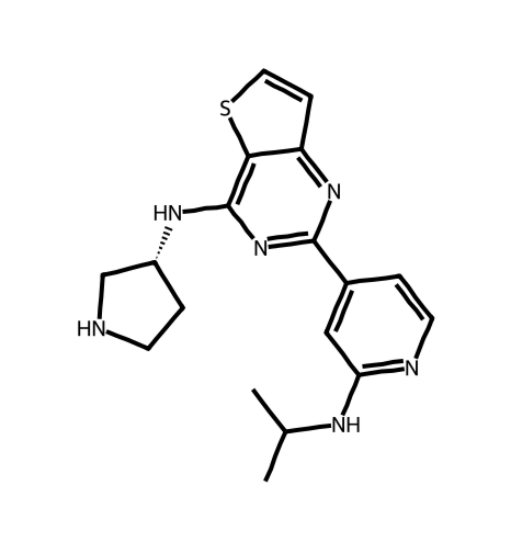 CC(C)Nc1cc(-c2nc(N[C@@H]3CCNC3)c3sccc3n2)ccn1